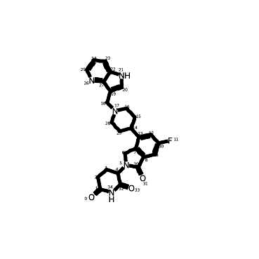 O=C1CCC(N2Cc3c(cc(F)cc3C3CCN(Cc4c[nH]c5cccnc45)CC3)C2=O)C(=O)N1